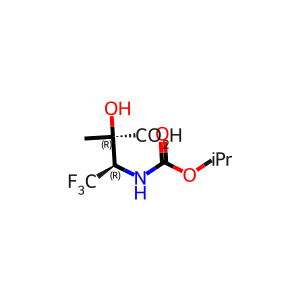 CC(C)OC(=O)N[C@@H](C(F)(F)F)[C@@](C)(O)C(=O)O